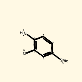 Bc1ccc(SC)cc1Cl